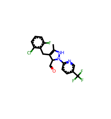 CC1=C(Cc2c(F)cccc2Cl)C(C=O)N(c2ccc(C(F)(F)F)cn2)N1